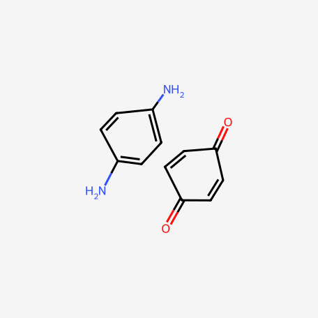 Nc1ccc(N)cc1.O=C1C=CC(=O)C=C1